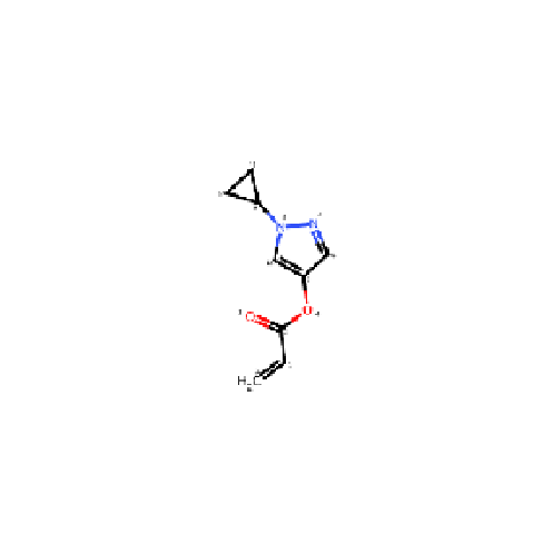 C=CC(=O)Oc1cnn(C2CC2)c1